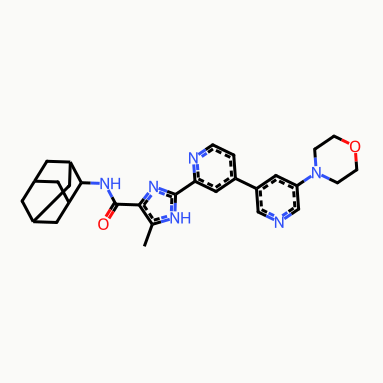 Cc1[nH]c(-c2cc(-c3cncc(N4CCOCC4)c3)ccn2)nc1C(=O)NC1C2CC3CC(C2)CC1C3